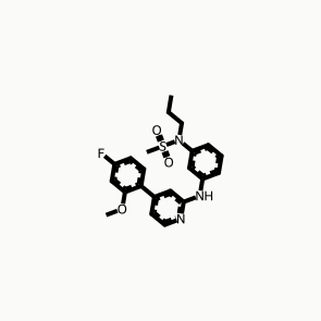 CCCN(c1cccc(Nc2cc(-c3ccc(F)cc3OC)ccn2)c1)S(C)(=O)=O